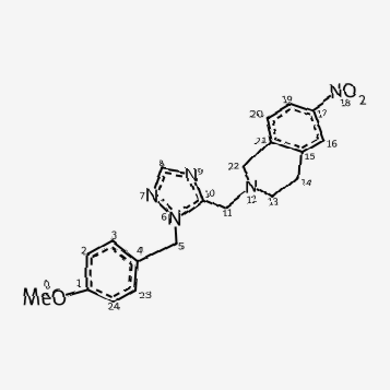 COc1ccc(Cn2ncnc2CN2CCc3cc([N+](=O)[O-])ccc3C2)cc1